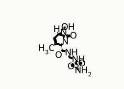 CC1=C[C@@H]2CN(C(=O)N2O)[C@@H]1C(=O)NCNS(N)(=O)=O